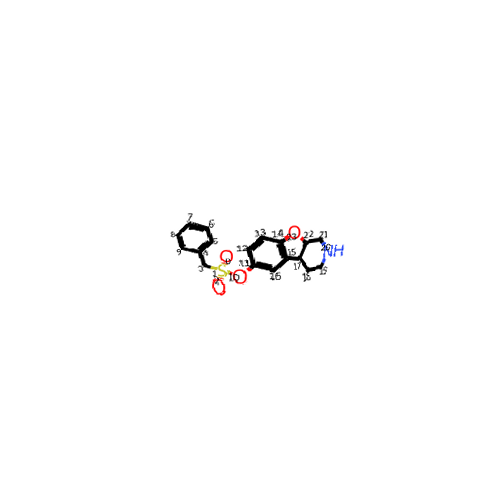 O=S(=O)(Cc1ccccc1)Oc1ccc2c(c1)C1CCNCC1O2